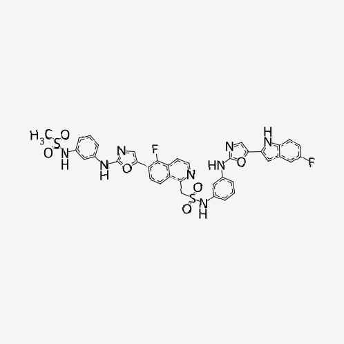 CS(=O)(=O)Nc1cccc(Nc2ncc(-c3ccc4c(CS(=O)(=O)Nc5cccc(Nc6ncc(-c7cc8cc(F)ccc8[nH]7)o6)c5)nccc4c3F)o2)c1